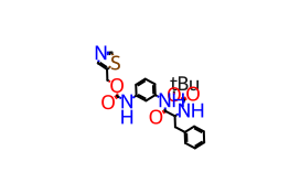 CC(C)(C)OC(=O)NC(Cc1ccccc1)C(=O)Nc1cccc(NC(=O)OCc2cncs2)c1